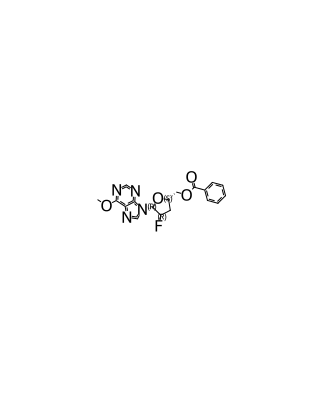 COc1ncnc2c1ncn2[C@@H]1O[C@H](COC(=O)c2ccccc2)C[C@H]1F